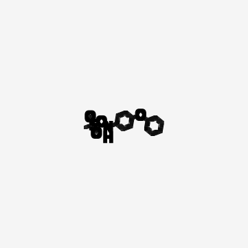 CS(=O)(=O)ONc1ccc(Oc2ccccc2)cc1